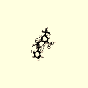 CC(C)(C)c1cc([N+](=O)[O-])c(NC(=O)c2ccccc2F)c(C(F)(F)F)c1